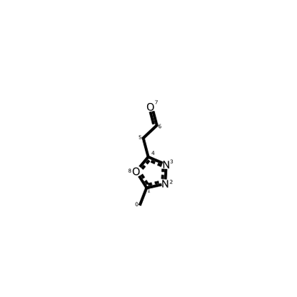 Cc1nnc(CC=O)o1